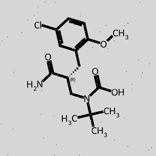 COc1ccc(Cl)cc1C[C@H](CN(C(=O)O)C(C)(C)C)C(N)=O